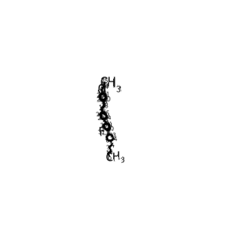 CCCCC[C@H]1CC[C@H](c2ccc(-c3ccc(C=Cc4ccc(OCC)cc4)cc3)cc2F)CC1